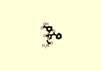 NC(=O)CN1CC2C(c3ccccc3)Oc3ccc(C(=O)O)cc3N2C1=O